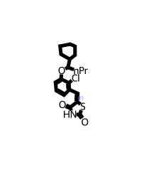 CCCC(Oc1cccc(/C=C2/SC(=O)NC2=O)c1Cl)C1CCCCC1